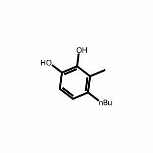 CCCCc1ccc(O)c(O)c1C